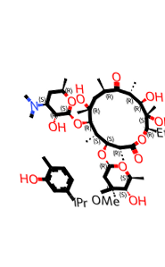 CC[C@H]1OC(=O)[C@H](C)[C@@H](O[C@H]2C[C@@](C)(OC)[C@@H](O)[C@H](C)O2)[C@H](C)[C@@H](O[C@@H]2O[C@H](C)C[C@H](N(C)C)[C@H]2O)[C@](C)(O)C[C@@H](C)C(=O)[C@H](C)[C@@H](O)[C@]1(C)O.Cc1ccc(C(C)C)cc1O